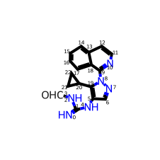 N=C(NC=O)Nc1cnn(-c2nccc3ccccc23)c1C1CC1